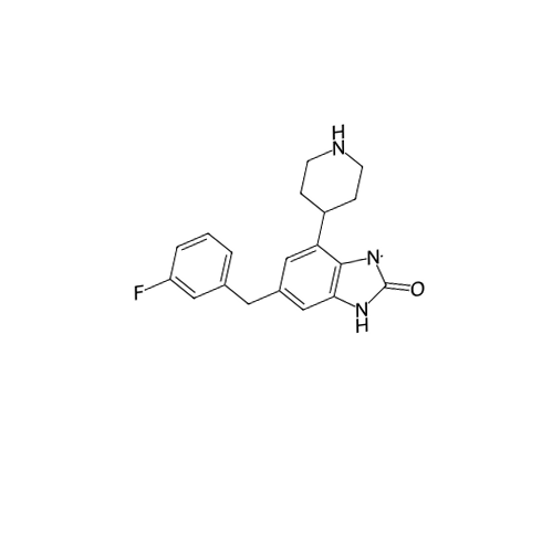 O=C1[N]c2c(cc(Cc3cccc(F)c3)cc2C2CCNCC2)N1